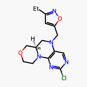 CCc1cc(CN2C[C@@H]3COCCN3c3nc(Cl)ncc32)on1